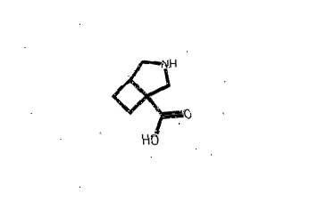 O=C(O)C12CCC1CNC2